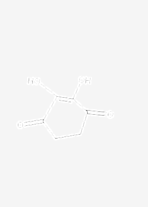 O=C1CCC(=O)C(O)=C1O